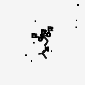 CCO[Si](CC)(CCN=C(C)C)OCC